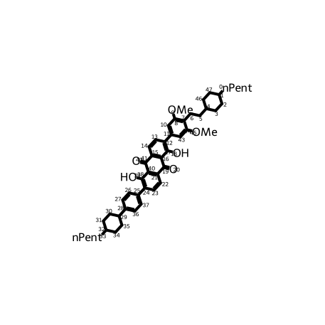 CCCCCC1CCC(CCc2c(OC)cc(-c3ccc4c(c3O)C(=O)c3ccc(-c5ccc(C6CCC(CCCCC)CC6)cc5)c(O)c3C4=O)cc2OC)CC1